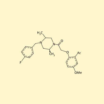 COc1ccc(OCC(=O)N2CC(C)N(Cc3ccc(F)cc3)C[C@@H]2C)c(C(C)=O)c1